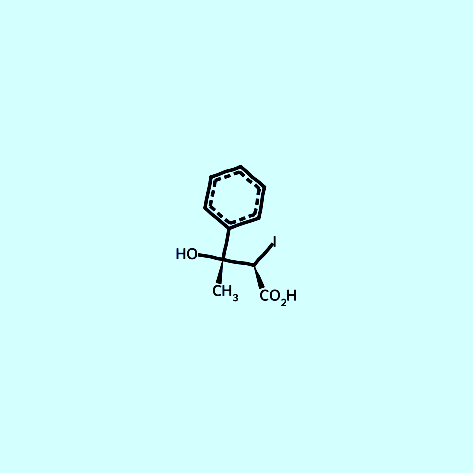 C[C@@](O)(c1ccccc1)[C@@H](I)C(=O)O